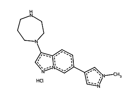 Cl.Cn1cc(-c2ccc3c(N4CCCNCC4)cnn3c2)cn1